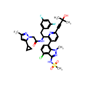 Cn1nc(NS(C)(=O)=O)c2c(Cl)ccc(-c3ccc(C#CC(C)(C)O)nc3C(Cc3cc(F)cc(F)c3)NC(=O)Cn3nc(C(F)(F)F)cc3C3CC3)c21